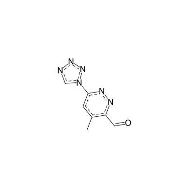 Cc1cc(-n2cnnn2)nnc1C=O